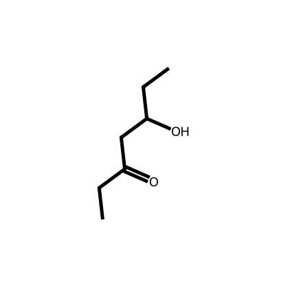 CCC(=O)CC(O)CC